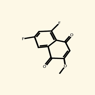 COC1=CC(=O)c2c(F)cc(F)cc2C1=O